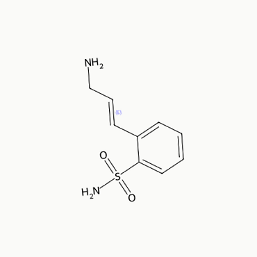 NC/C=C/c1ccccc1S(N)(=O)=O